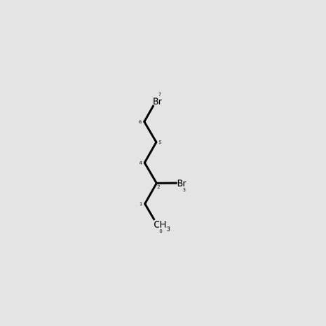 CCC(Br)CCCBr